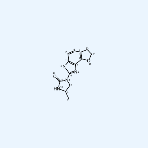 CC1CN(c2nc3c4c(ccc3s2)CCO4)C(=O)N1